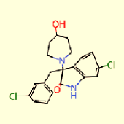 O=C1Nc2cc(Cl)ccc2C1(Cc1cccc(Cl)c1)N1CCC(O)CC1